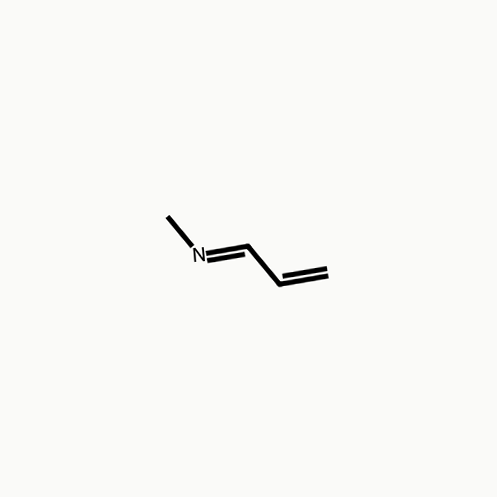 C=CC=NC